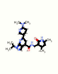 Cc1cc(C)c(CNC(=O)c2cc(-c3ccc(N(C)C)nc3)nc3c2cnn3C(C)C)c(=O)[nH]1